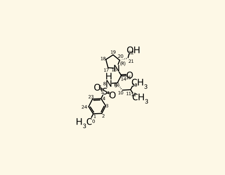 Cc1ccc(S(=O)(=O)N[C@@H](CC(C)C)C(=O)N2CCC[C@@H]2CO)cc1